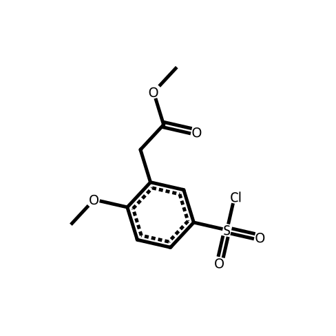 COC(=O)Cc1cc(S(=O)(=O)Cl)ccc1OC